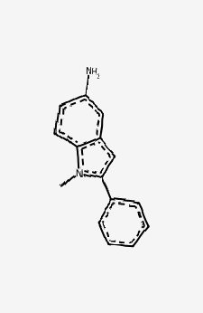 Cn1c(-c2ccccc2)cc2cc(N)ccc21